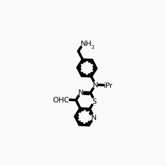 CC(C)N(C1=NC(C=O)c2cccnc2S1)c1ccc(CN)cc1